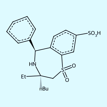 CCCC[C@@]1(CC)CS(=O)(=O)c2cc(S(=O)(=O)O)ccc2[C@H](c2ccccc2)N1